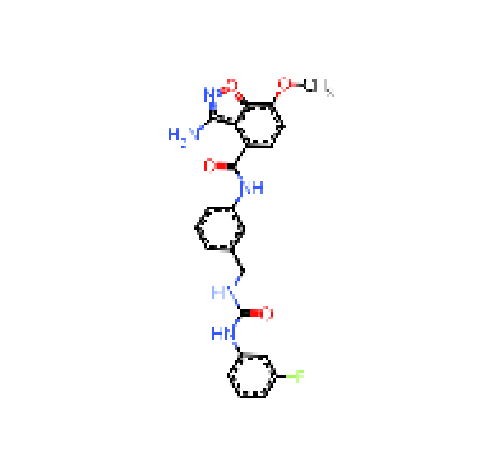 COc1ccc(C(=O)Nc2cccc(CNC(=O)Nc3cccc(F)c3)c2)c2c(N)noc12